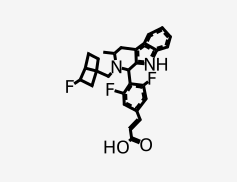 CC1Cc2c([nH]c3ccccc23)C(c2c(F)cc(/C=C/C(=O)O)cc2F)N1CC12CCC1C(F)C2